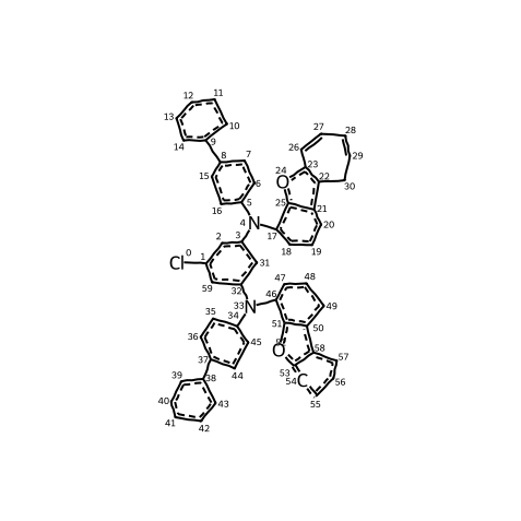 Clc1cc(N(c2ccc(-c3ccccc3)cc2)c2cccc3c4c(oc23)C=CC=CC4)cc(N(c2ccc(-c3ccccc3)cc2)c2cccc3c2oc2ccccc23)c1